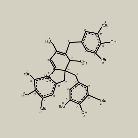 CC1=CC(C)=C(Cc2cc(C(C)(C)C)c(O)c(C(C)(C)C)c2)C(C)C1(Cc1cc(C(C)(C)C)c(O)c(C(C)(C)C)c1)Cc1cc(C(C)(C)C)c(O)c(C(C)(C)C)c1